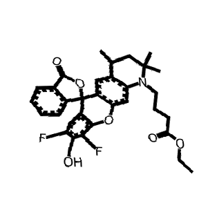 CCOC(=O)CCCN1c2cc3c(cc2C(C)CC1(C)C)C1(OC(=O)c2ccccc21)c1cc(F)c(O)c(F)c1O3